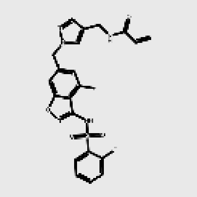 C=CC(=O)NCc1cnn(Cc2cc(C)c3c(NS(=O)(=O)c4ccccc4F)noc3c2)c1